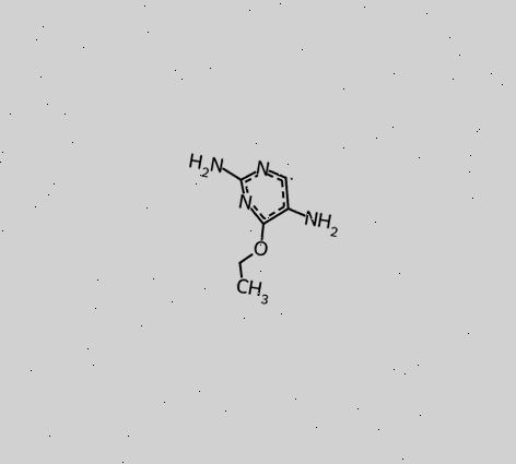 CCOc1nc(N)n[c]c1N